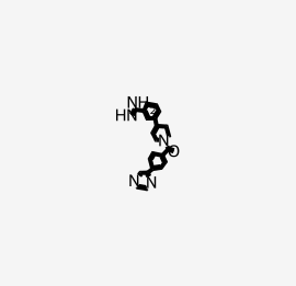 N=C(N)c1cccc(C2=CCN(C(=O)c3ccc(-c4cnccn4)cc3)CC2)c1